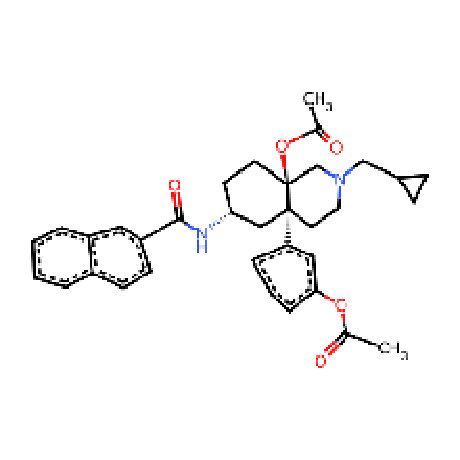 CC(=O)Oc1cccc([C@@]23CCN(CC4CC4)C[C@@]2(OC(C)=O)CC[C@@H](NC(=O)c2ccc4ccccc4c2)C3)c1